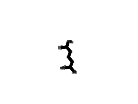 CCCCC(CC)C[CH]CC(CC)CCC